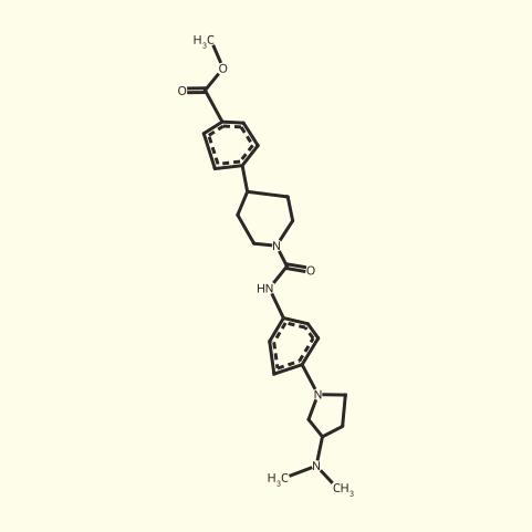 COC(=O)c1ccc(C2CCN(C(=O)Nc3ccc(N4CCC(N(C)C)C4)cc3)CC2)cc1